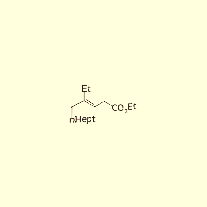 CCCCCCCCC(=CCC(=O)OCC)CC